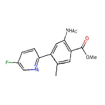 COC(=O)c1cc(C)c(-c2ccc(F)cn2)cc1NC(C)=O